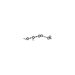 C=CC(=O)OCCCCCCOc1ccc(C#Cc2ccc(C#Cc3ccc(CCC)cc3)c(CC)c2)cc1